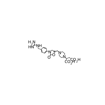 N=C(N)NCc1ccc(N2C[C@@H](CN3CCN(C(CC(=O)O)C(=O)O)CC3)OC2=O)cc1